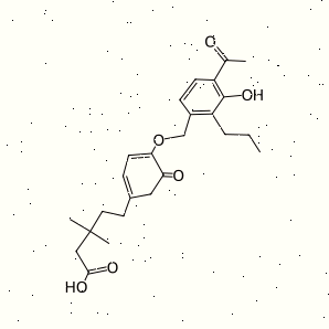 CCCc1c(COC2=CC=C(CCC(C)(C)CC(=O)O)CC2=O)ccc(C(C)=O)c1O